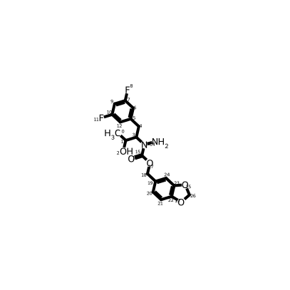 CC(O)C(Cc1cc(F)cc(F)c1)N(N)C(=O)OCc1ccc2c(c1)OCO2